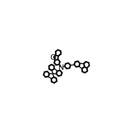 c1ccc2c(c1)-c1ccccc1C21c2ccccc2-c2c(N(c3ccc(-c4ccc5c(c4)-c4cccc6cccc-5c46)cc3)c3ccc4oc5ccccc5c4c3)cccc21